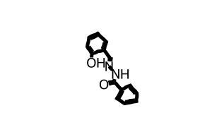 O=C(NN=Cc1ccccc1O)c1ccccc1